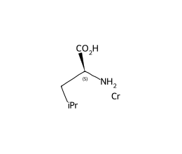 CC(C)C[C@H](N)C(=O)O.[Cr]